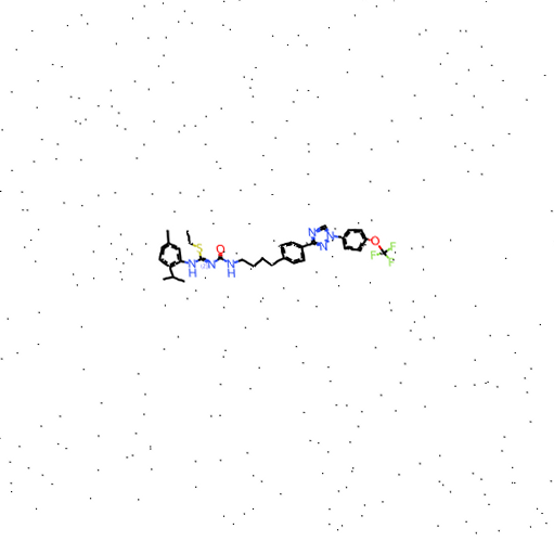 CCS/C(=N\C(=O)NCCCCc1ccc(-c2ncn(-c3ccc(OC(F)(F)F)cc3)n2)cc1)Nc1cc(C)ccc1C(C)C